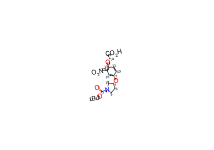 CC(C)(C)OC(=O)N1CCC(Oc2ccc(OCC(=O)O)c([N+](=O)[O-])c2)C1